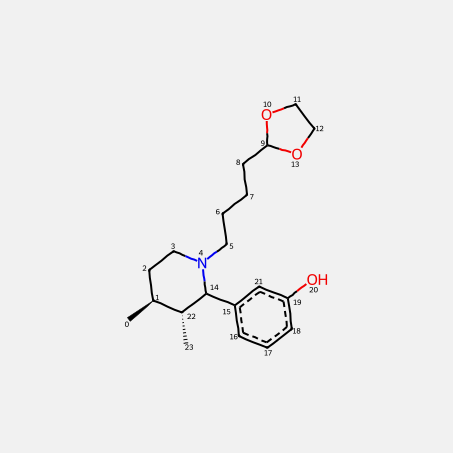 C[C@H]1CCN(CCCCC2OCCO2)C(c2cccc(O)c2)[C@@H]1C